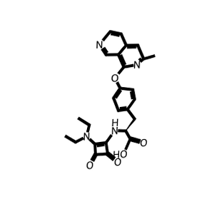 CCN(CC)c1c(N[C@@H](Cc2ccc(Oc3nc(C)cc4ccncc34)cc2)C(=O)O)c(=O)c1=O